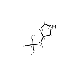 FC(F)(F)O[C]1CNCN1